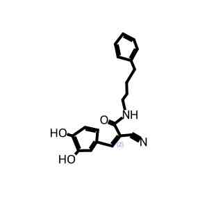 N#C/C(=C/c1ccc(O)c(O)c1)C(=O)NCCCCc1ccccc1